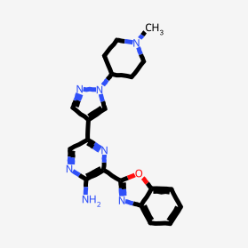 CN1CCC(n2cc(-c3cnc(N)c(-c4nc5ccccc5o4)n3)cn2)CC1